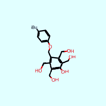 CCC(C)c1ccc(OCc2c(CO)c(CO)c(O)c(CO)c2CO)cc1